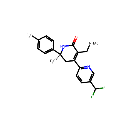 CC(=O)NCC1=C(c2ccc(C(F)F)cn2)C[C@](c2ccc(C(F)(F)F)cc2)(C(F)(F)F)NC1=O